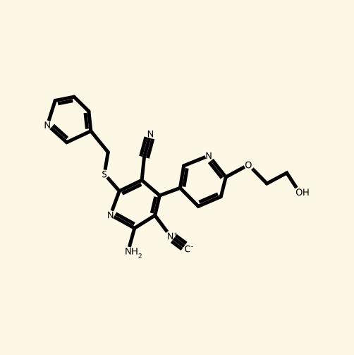 [C-]#[N+]c1c(N)nc(SCc2cccnc2)c(C#N)c1-c1ccc(OCCO)nc1